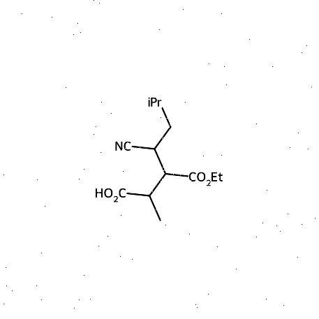 CCOC(=O)C(C(C#N)CC(C)C)C(C)C(=O)O